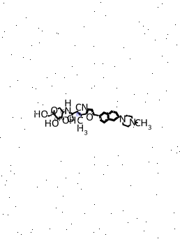 C/C(=C(/C#N)C(=O)N[C@H]1CO[C@H](CO)[C@@H](O)[C@@H]1O)c1ccc(-c2ccc3cc(N4CCN(C)CC4)ccc3c2)o1